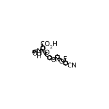 N#Cc1ccc(OCc2cccc(Oc3ccc(CC(=O)Nc4ccc(C(=O)O)cc4NC[C@@H]4CCO4)cc3)n2)c(F)c1